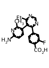 CCc1ncnc(-c2ccc(C(=O)O)c(F)c2)c1-c1ccc(N)nc1C